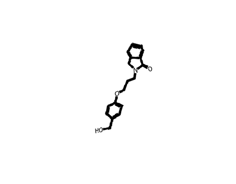 O=C1c2ccccc2CN1CCCOc1ccc(CO)cc1